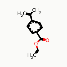 C=COC(=O)c1ccc(C(=C)C)cc1